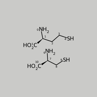 N[C@@H](CCS)C(=O)O.N[C@@H](CS)C(=O)O